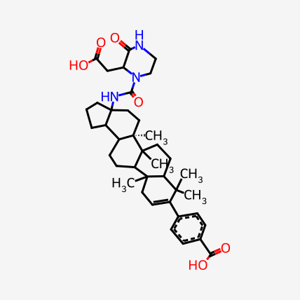 CC1(C)C(c2ccc(C(=O)O)cc2)=CCC2(C)C1CCC1(C)C2CCC2C3CCCC3(NC(=O)N3CCNC(=O)C3CC(=O)O)CC[C@]21C